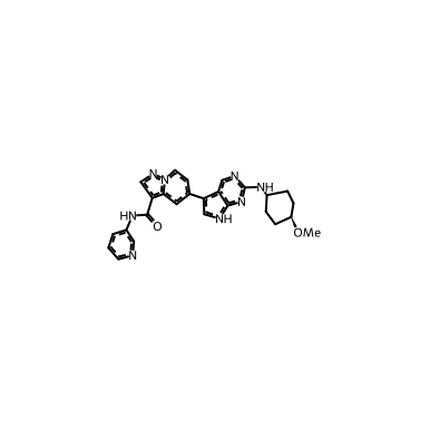 CO[C@H]1CC[C@@H](Nc2ncc3c(-c4ccn5ncc(C(=O)Nc6cccnc6)c5c4)c[nH]c3n2)CC1